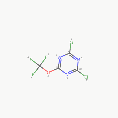 FC(F)(F)Oc1nc(Cl)nc(Cl)n1